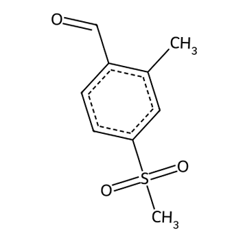 Cc1cc(S(C)(=O)=O)ccc1C=O